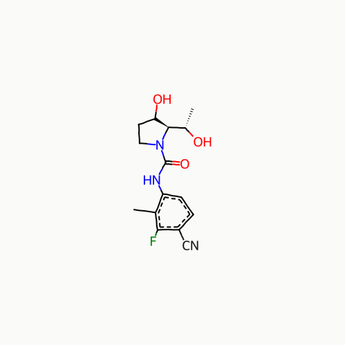 Cc1c(NC(=O)N2CCC(O)[C@H]2[C@H](C)O)ccc(C#N)c1F